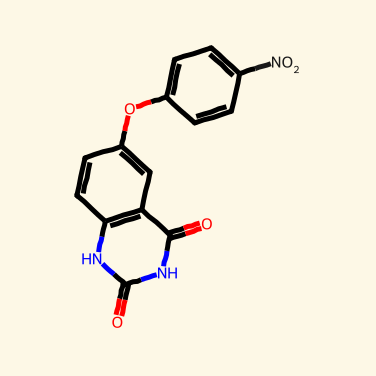 O=c1[nH]c(=O)c2cc(Oc3ccc([N+](=O)[O-])cc3)ccc2[nH]1